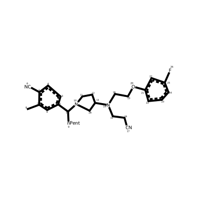 CCCCCC(c1ccc(C#N)c(C)c1)N1CCC(N(CCC#N)CCOc2cccc(F)c2)C1